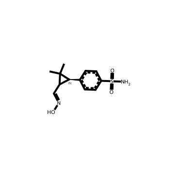 CC1(C)C(C=NO)[C@@H]1c1ccc(S(N)(=O)=O)cc1